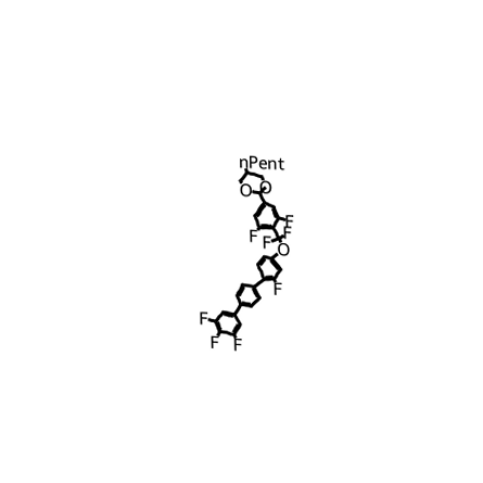 CCCCCC1COC(c2cc(F)c(C(F)(F)Oc3ccc(-c4ccc(-c5cc(F)c(F)c(F)c5)cc4)c(F)c3)c(F)c2)OC1